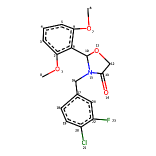 COc1cccc(OC)c1C1OCC(=O)N1Cc1ccc(Cl)c(F)c1